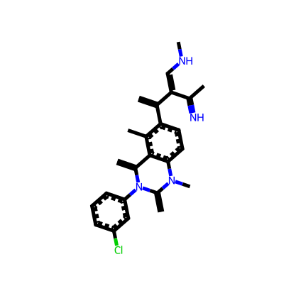 C=C(/C(=C/NC)C(C)=N)c1ccc2c(c1C)C(=C)N(c1cccc(Cl)c1)C(=C)N2C